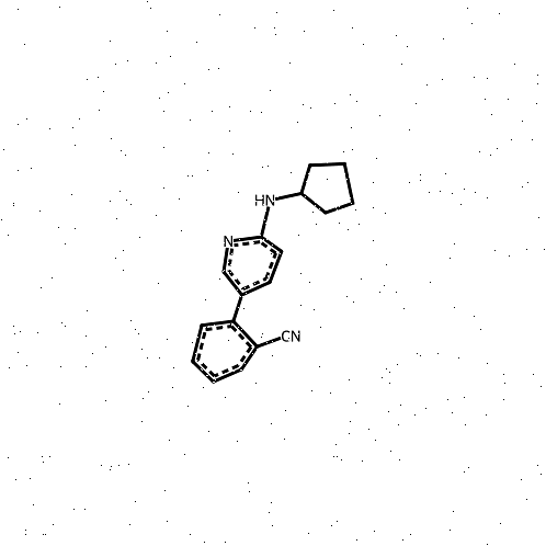 N#Cc1ccccc1-c1ccc(NC2CCCC2)nc1